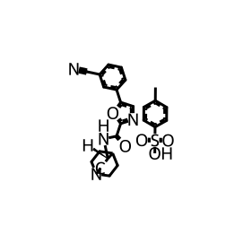 Cc1ccc(S(=O)(=O)O)cc1.N#Cc1cccc(-c2cnc(C(=O)N[C@H]3CN4CCC3CC4)o2)c1